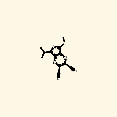 CSc1sc(C(C)C)c2nc(C#N)c(C#N)nc12